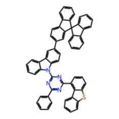 c1ccc(-c2nc(-c3cccc4sc5ccccc5c34)nc(-n3c4ccccc4c4cc(-c5ccc6c(c5)C5(c7ccccc7-c7ccccc75)c5ccccc5-6)ccc43)n2)cc1